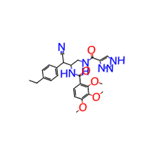 CCc1ccc(C(C#N)C(CNC(=O)c2c[nH]nn2)NC(=O)c2ccc(OC)c(OC)c2OC)cc1